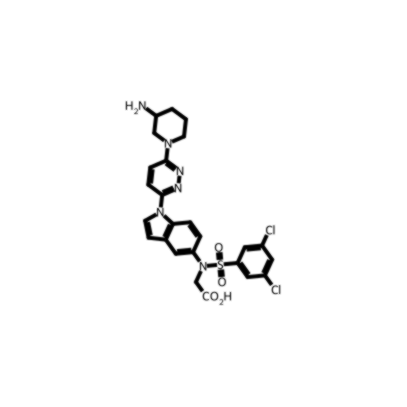 NC1CCCN(c2ccc(-n3ccc4cc(N(CC(=O)O)S(=O)(=O)c5cc(Cl)cc(Cl)c5)ccc43)nn2)C1